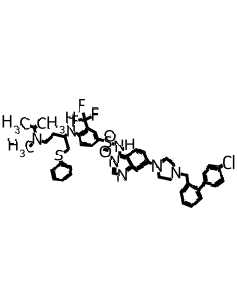 CC(C)N(C)CCC(CSc1ccccc1)Nc1ccc(S(=O)(=O)Nc2ncnc3cc(N4CCN(Cc5ccccc5-c5ccc(Cl)cc5)CC4)ccc23)cc1C(F)(F)F